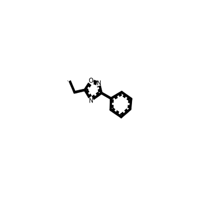 [CH2]Cc1nc(-c2ccccc2)no1